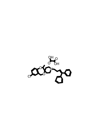 CC1Oc2ccc(Cl)cc2COC12CCN(CCC=C(c1ccccc1)c1ccccc1)CC2.O=C(O)C(=O)O